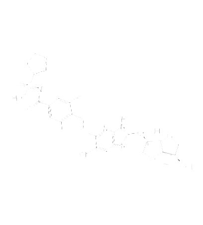 CS(=O)(=NC(=O)c1cc(F)c(COc2nc3[nH]c(O[C@@H]4CO[C@H]5[C@@H]4OC[C@H]5O)nc3cc2Cl)c(F)c1)C1CCCC1